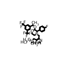 C[C@@H](OC1OCCN(Cc2nn[nH]c2C[As](C)C)C1c1ccc(F)cc1)c1cc(C(F)(F)F)cc(C(F)(F)F)c1.Cl